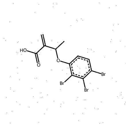 C=C(C(=O)O)C(C)Oc1ccc(Br)c(Br)c1Br